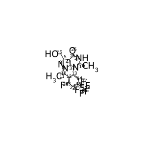 Cc1nc2c(c(CO)nn2C(C)c2ccc(S(F)(F)(F)(F)F)cc2F)c(=O)[nH]1